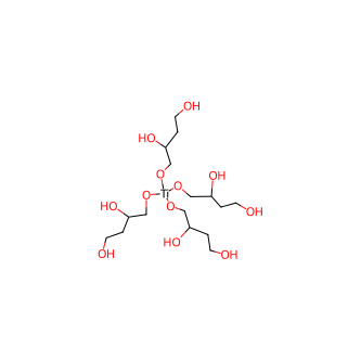 OCCC(O)C[O][Ti]([O]CC(O)CCO)([O]CC(O)CCO)[O]CC(O)CCO